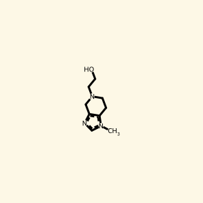 Cn1cnc2c1CCN(CCO)C2